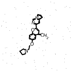 C=C1C=C(c2cc3cccn3cn2)Oc2ccc(OCCN3CCCC3)cc21